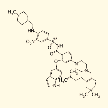 C=C(C)CCC1=C(CN2CCN(c3ccc(C(=O)NS(=O)(=O)c4ccc(NCC5CCN(C)CC5)c([N+](=O)[O-])c4)c(Oc4cnc5[nH]ccc5c4)c3)CC2)CCC(C)(C)C1